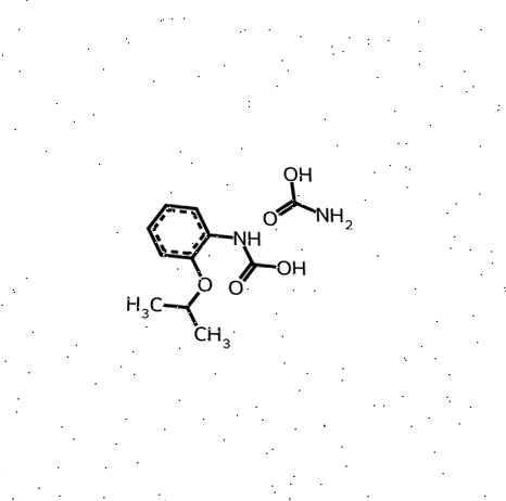 CC(C)Oc1ccccc1NC(=O)O.NC(=O)O